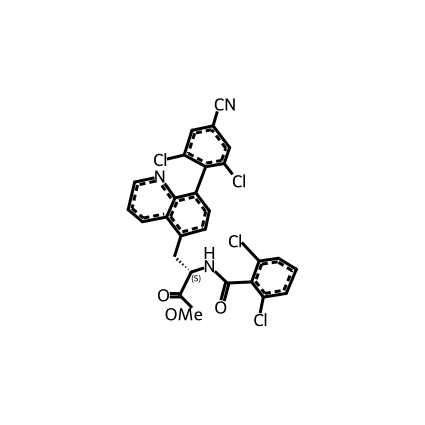 COC(=O)[C@H](Cc1ccc(-c2c(Cl)cc(C#N)cc2Cl)c2ncccc12)NC(=O)c1c(Cl)cccc1Cl